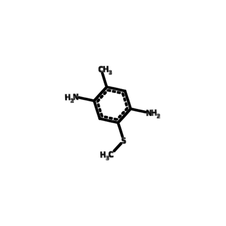 CSc1cc(N)c(C)cc1N